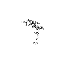 CCOCCOC(=O)CC[C@@H](C)[C@H]1CC[C@H]2[C@@H]3CC[C@@H]4C[C@H](O)CC[C@]4(C)[C@H]3CC[C@]12C